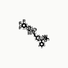 Cc1nnc(C(c2ccccc2)N2CCC(CCNC(=O)N3CCN(c4cc(F)c(F)c(F)c4)C[C@H]3C)CC2)o1